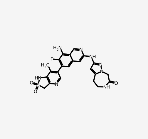 Cc1c(-c2cc3cc(Nc4cc5n(n4)CC(=O)NCC5)ncc3c(N)c2F)cnc2c1NS(=O)(=O)C2